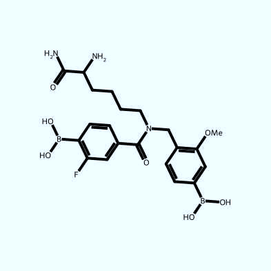 COc1cc(B(O)O)ccc1CN(CCCCC(N)C(N)=O)C(=O)c1ccc(B(O)O)c(F)c1